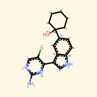 Nc1ncc(Cl)c(-c2c[nH]c3ccc(C4(O)CCCCC4)cc23)n1